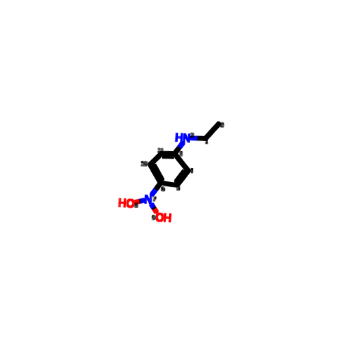 CCNc1ccc(N(O)O)cc1